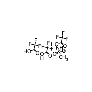 CS(N)(=O)=O.O=C(O)C(F)(F)F.O=C(O)C(F)(F)F.O=C(O)C(F)(F)F